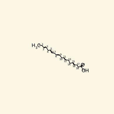 CCC=CCC=CCC=CCC=CCCC=CCCC(=O)O